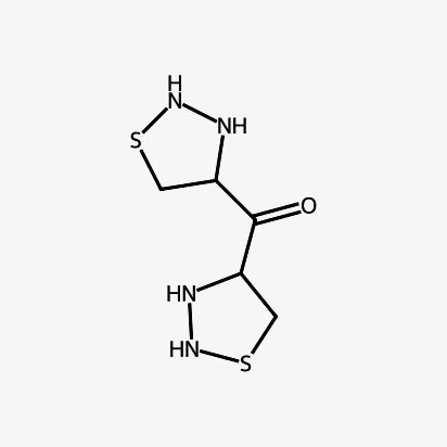 O=C(C1CSNN1)C1CSNN1